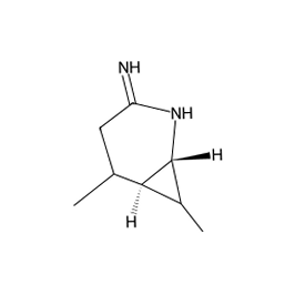 CC1CC(=N)N[C@@H]2C(C)[C@@H]12